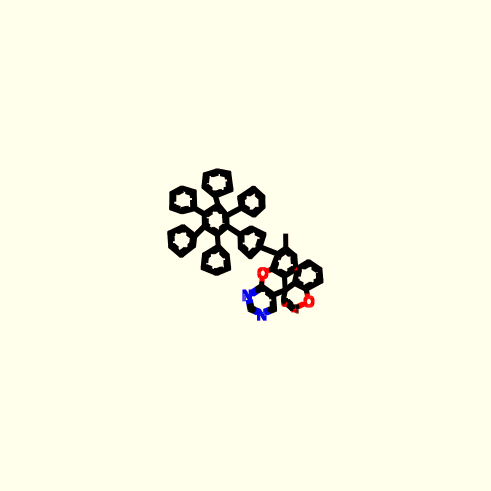 Cc1ccc2c(c1-c1ccc(-c3c(-c4ccccc4)c(-c4ccccc4)c(-c4ccccc4)c(-c4ccccc4)c3-c3ccccc3)cc1)Oc1ncncc1C21c2ccccc2Oc2ccccc21